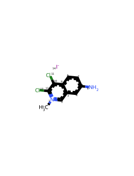 C[n+]1cc2cc(N)ccc2c(Cl)c1Cl.[I-]